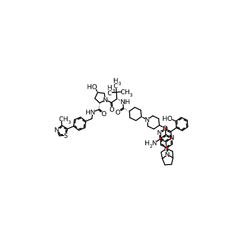 Cc1ncsc1-c1ccc(CNC(=O)[C@@H]2C[C@@H](O)CN2C(=O)[C@@H](NC(=O)[C@H]2CC[C@H](N3CCC(Oc4ccc(N5C6CCC5CN(c5cc(-c7ccccc7O)nnc5N)C6)cn4)CC3)CC2)C(C)(C)C)cc1